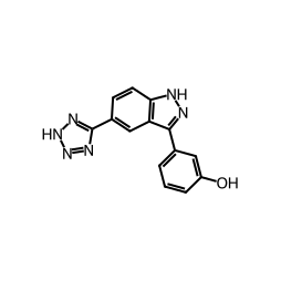 Oc1cccc(-c2n[nH]c3ccc(-c4nn[nH]n4)cc23)c1